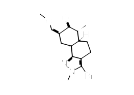 CO/C=C1/C[C@]2(C)c3nn(C)c(Br)c3CC[C@H]2[C@H](C)C1=O